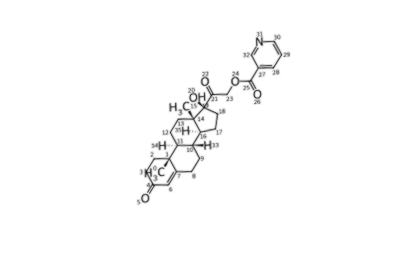 C[C@]12CCC(=O)C=C1CC[C@@H]1[C@@H]2CC[C@@]2(C)[C@H]1CC[C@@]2(O)C(=O)COC(=O)c1cccnc1